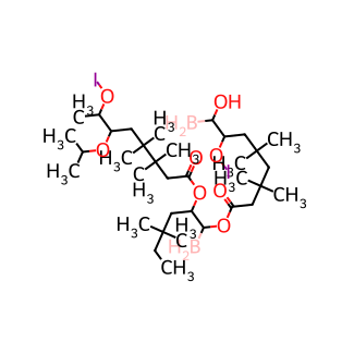 BC(O)C(CC(C)(C)CC(C)(C)CC(=O)OC(B)C(CC(C)(C)CC)OC(=O)CC(C)(C)C(C)(C)CC(OC(C)C)C(C)OI)OI